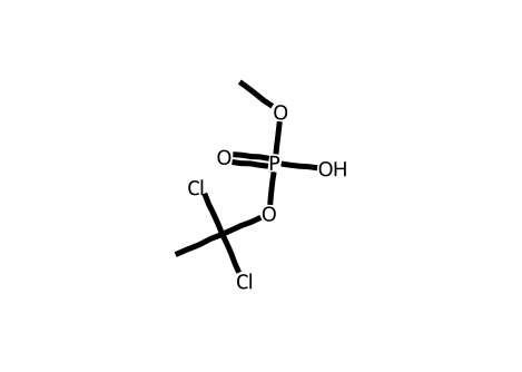 COP(=O)(O)OC(C)(Cl)Cl